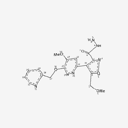 COCc1onc(C(=O)NN)c1-c1cc(OC)c(OCc2ccccn2)nn1